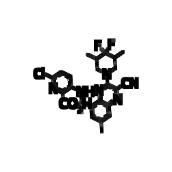 Cc1cc([C@@H](C)Nc2ccc(Cl)nc2C(=O)O)c2nc(N3CC(C)C(F)(F)C(C)C3)c(C#N)nc2c1